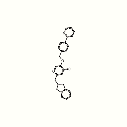 O=c1cc(CN2Cc3ccccc3C2)occ1OCc1ccc(-c2ccccn2)cc1